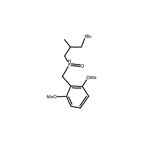 COc1cccc(OC)c1C[PH](=O)CC(C)CC(C)(C)C